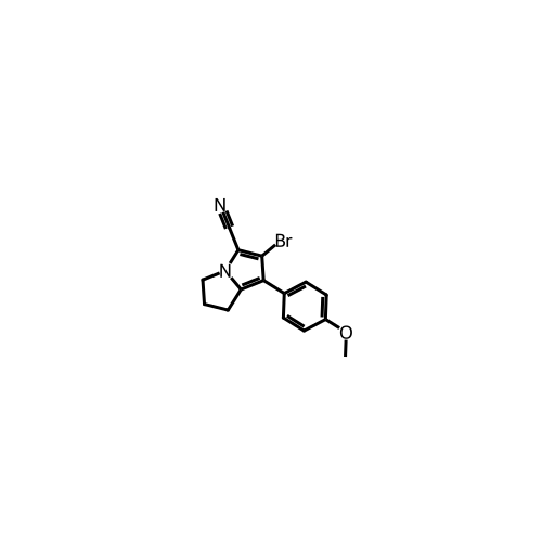 COc1ccc(-c2c(Br)c(C#N)n3c2CCC3)cc1